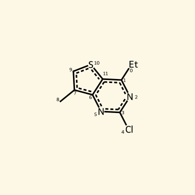 CCc1nc(Cl)nc2c(C)csc12